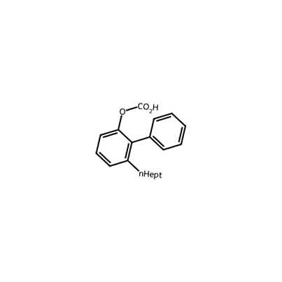 CCCCCCCc1cccc(OC(=O)O)c1-c1ccccc1